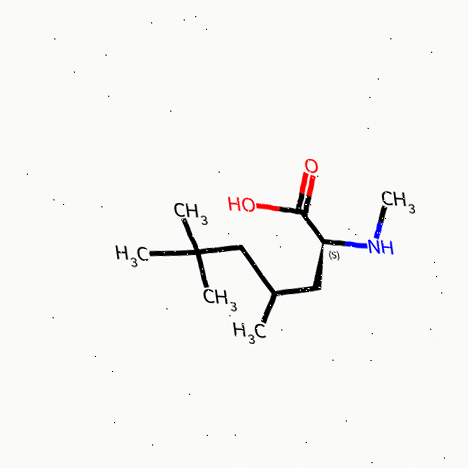 CN[C@@H](CC(C)CC(C)(C)C)C(=O)O